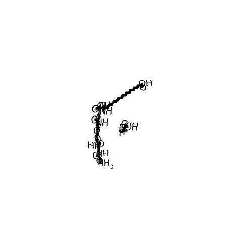 NOCC(=O)NCCNC(=O)COCCOCCNC(=O)CC[C@H](NC(=O)CCCCCCCCCCCCCCCCC(=O)O)C(=O)O.O=C(O)C(F)(F)F